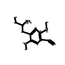 C#Cc1cc(OC)c(CC(N)CC)cc1OC